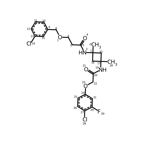 CC1(NC(=O)CCOCc2cccc(Cl)c2)CC(C)(NC(=O)COc2ccc(Cl)c(F)c2)C1